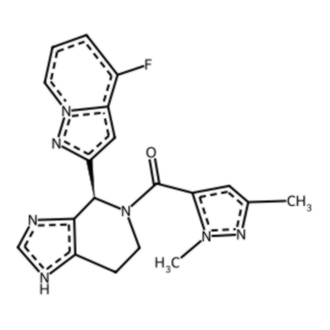 Cc1cc(C(=O)N2CCc3[nH]cnc3[C@H]2c2cc3c(F)cccn3n2)n(C)n1